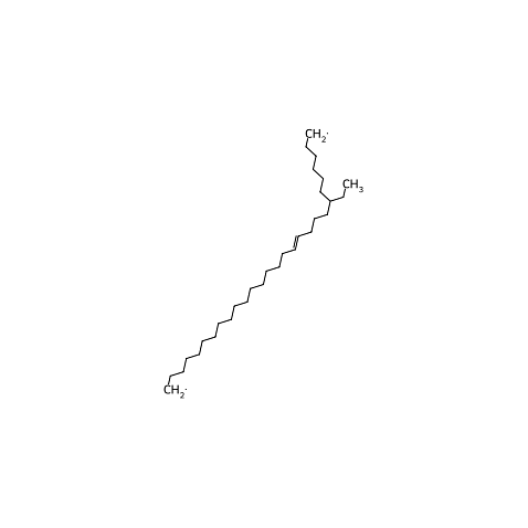 [CH2]CCCCCCCCCCCCCCCC=CCCCC(CC)CCCCC[CH2]